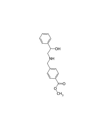 COC(=O)c1ccc(CNCC(O)c2ccccc2)cc1